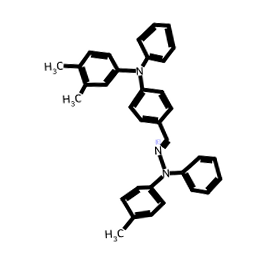 Cc1ccc(N(/N=C/c2ccc(N(c3ccccc3)c3ccc(C)c(C)c3)cc2)c2ccccc2)cc1